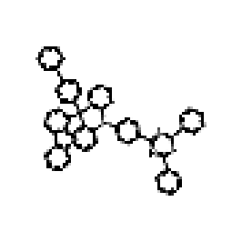 c1ccc(-c2ccc(C3(c4cccc5c4oc4ccccc45)c4ccccc4N(c4ccc(-c5nc(-c6ccccc6)nc(-c6ccccc6)n5)cc4)c4ccccc43)cc2)cc1